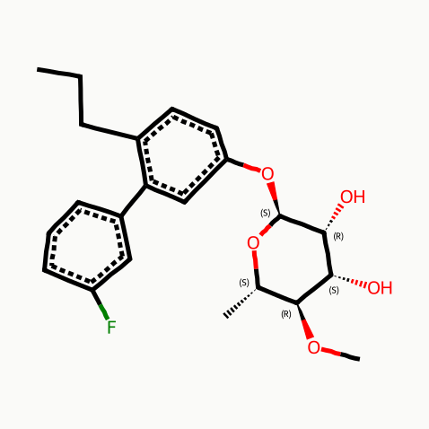 CCCc1ccc(O[C@@H]2O[C@@H](C)[C@H](OC)[C@@H](O)[C@H]2O)cc1-c1cccc(F)c1